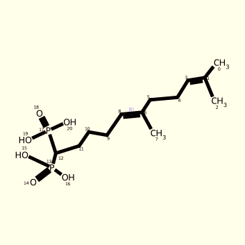 CC(C)=CCC/C(C)=C/CCCC(P(=O)(O)O)P(=O)(O)O